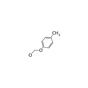 Cc1ccc(OC[O])cc1